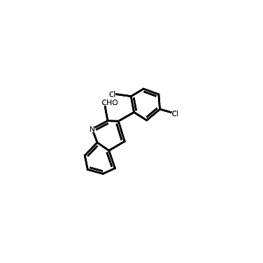 O=Cc1nc2ccccc2cc1-c1cc(Cl)ccc1Cl